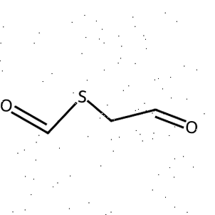 O=CCSC=O